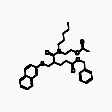 CCCCCN(CCOC(C)=O)C(=O)C(CCC(=O)OCc1ccccc1)CSc1ccc2ccccc2c1